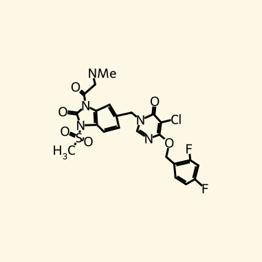 CNCC(=O)n1c(=O)n(S(C)(=O)=O)c2ccc(Cn3cnc(OCc4ccc(F)cc4F)c(Cl)c3=O)cc21